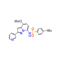 COc1ccc(NS(=O)(=O)c2ccc(C(C)(C)C)cc2)n2nc(-c3cccnc3)cc12